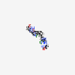 O=C1CC[C@@H](CNCc2nc3cc(-c4cccc(-c5ccn6c(=O)c(CNC[C@@H]7CCC(=O)N7)cnc6c5)c4Cl)ccn3c2Cl)N1